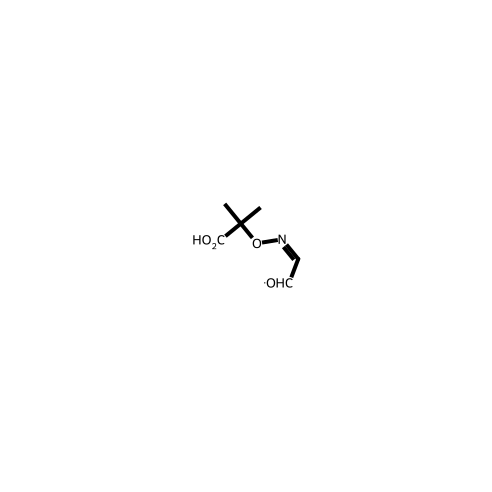 CC(C)(O/N=C\[C]=O)C(=O)O